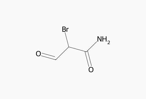 NC(=O)C(Br)C=O